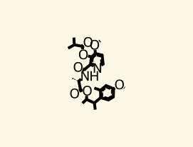 COc1ccc(C(C)C(C)OC(=O)[C@H](C)NC(=O)c2nccc(OC)c2OC(=O)C(C)C)c(C)c1